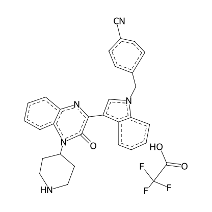 N#Cc1ccc(Cn2cc(-c3nc4ccccc4n(C4CCNCC4)c3=O)c3ccccc32)cc1.O=C(O)C(F)(F)F